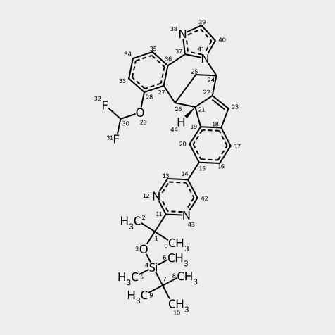 CC(C)(O[Si](C)(C)C(C)(C)C)c1ncc(-c2ccc3c(c2)[C@H]2C(=C3)C3CC2c2c(OC(F)F)cccc2-c2nccn23)cn1